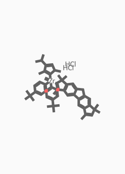 Cl.Cl.[CH2]=[Zr]([C]1=C(C)C(C(C)C)=CC1C)([C]1=C(C)c2cc3c(cc2C1(C)C)Cc1cc2c(cc1-3)C(C)=CC2(C)C)([c]1ccc(C(C)(C)C)cc1)[c]1ccc(C(C)(C)C)cc1